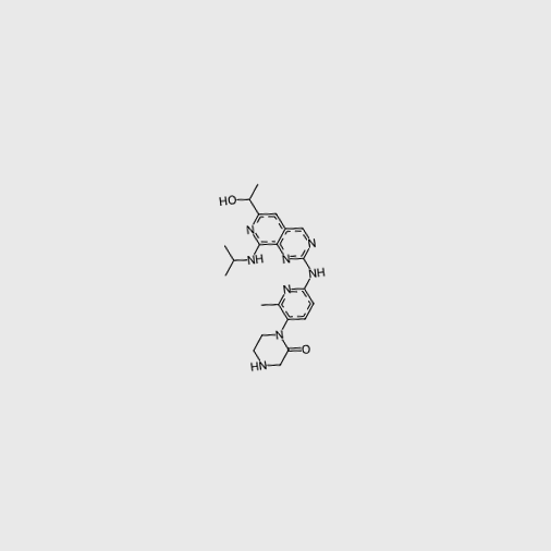 Cc1nc(Nc2ncc3cc(C(C)O)nc(NC(C)C)c3n2)ccc1N1CCNCC1=O